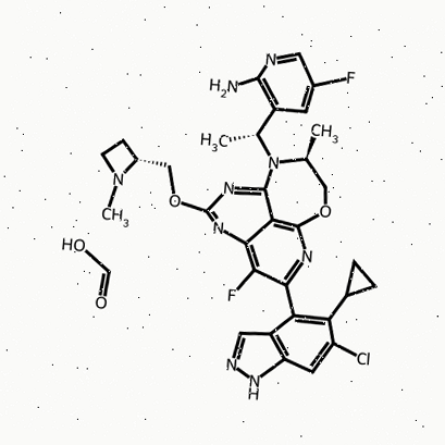 C[C@H](c1cc(F)cnc1N)N1c2nc(OC[C@H]3CCN3C)nc3c(F)c(-c4c(C5CC5)c(Cl)cc5[nH]ncc45)nc(c23)OC[C@@H]1C.O=CO